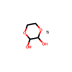 OC1OCCOC1O.[Ti]